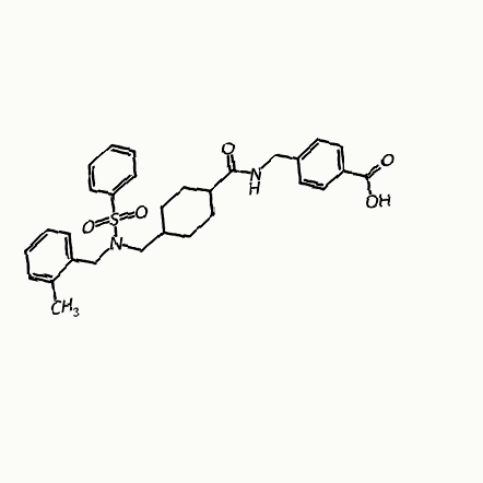 Cc1ccccc1CN(CC1CCC(C(=O)NCc2ccc(C(=O)O)cc2)CC1)S(=O)(=O)c1ccccc1